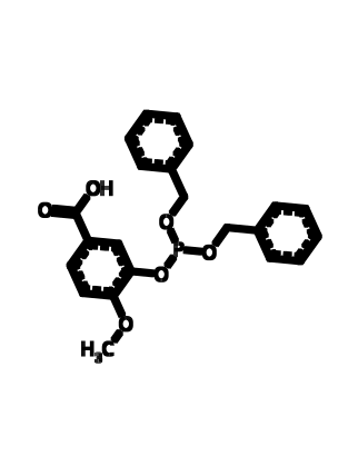 COc1ccc(C(=O)O)cc1OP(OCc1ccccc1)OCc1ccccc1